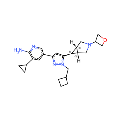 Nc1ncc(-c2cc([C@H]3[C@@H]4CN(C5COC5)C[C@@H]43)n(CC3CCC3)n2)cc1C1CC1